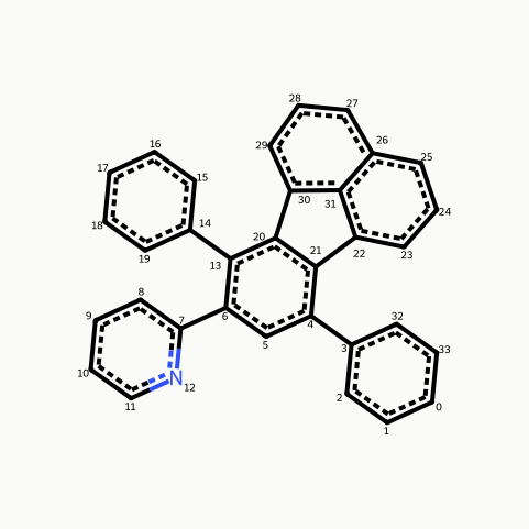 c1ccc(-c2cc(-c3ccccn3)c(-c3ccccc3)c3c2-c2cccc4cccc-3c24)cc1